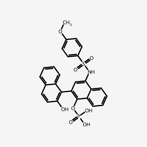 COc1ccc(S(=O)(=O)Nc2cc(-c3c(O)ccc4ccccc34)c(OP(=O)(O)O)c3ccccc23)cc1